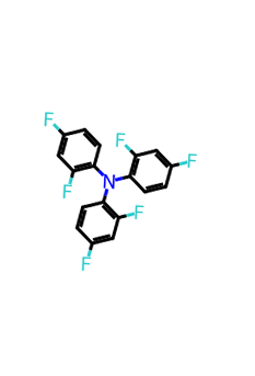 Fc1ccc(N(c2ccc(F)cc2F)c2ccc(F)cc2F)c(F)c1